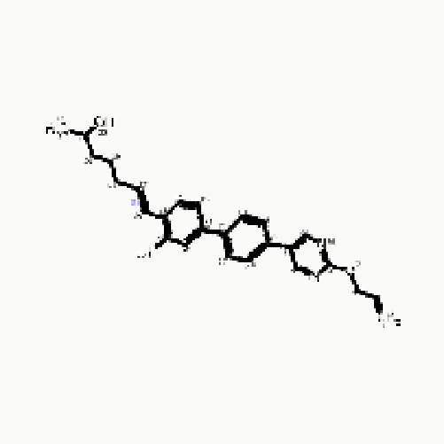 C=CCOc1ncc(-c2ccc(-c3ccc(/C=C/CCCC(C)O)c(F)c3)cc2)cn1